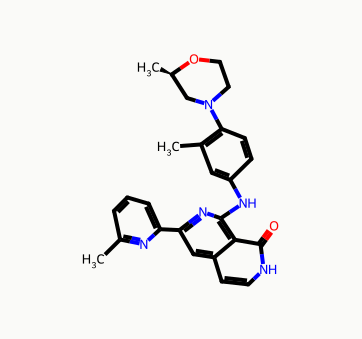 Cc1cccc(-c2cc3cc[nH]c(=O)c3c(Nc3ccc(N4CCO[C@H](C)C4)c(C)c3)n2)n1